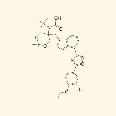 CCOc1ccc(-c2nc(-c3cccc4c3ccn4CC3(N(C(=O)O)C(C)(C)C)COC(C)(C)OC3)no2)cc1Cl